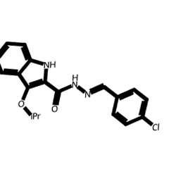 CC(C)Oc1c(C(=O)NN=Cc2ccc(Cl)cc2)[nH]c2ccccc12